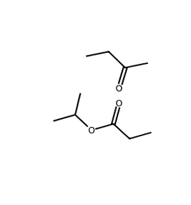 CCC(=O)OC(C)C.CCC(C)=O